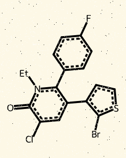 CCn1c(-c2ccc(F)cc2)c(-c2ccsc2Br)cc(Cl)c1=O